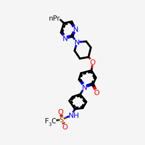 CCCc1cnc(N2CCC(Oc3ccn(-c4ccc(NS(=O)(=O)C(F)(F)F)cc4)c(=O)c3)CC2)nc1